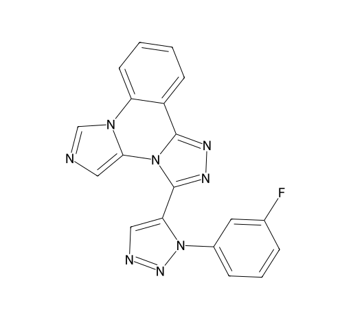 Fc1cccc(-n2nncc2-c2nnc3c4ccccc4n4cncc4n23)c1